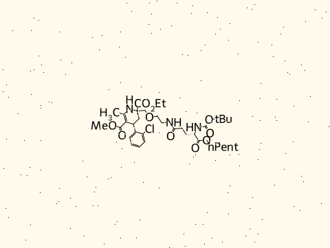 CCCCCOC(=O)[C@H](CCC(=O)NCCOCC1(C(=O)OCC)CC(c2ccccc2Cl)C(C(=O)OC)=C(C)N1)NC(=O)OC(C)(C)C